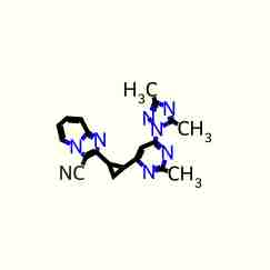 Cc1nc(C2CC2c2nc3ccccn3c2C#N)cc(-n2nc(C)nc2C)n1